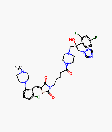 CN1CCN(c2cccc(Cl)c2/C=C2\SC(=O)N(CCCCC(=O)N3CCN(CC(O)(Cn4cncn4)c4ccc(F)cc4F)CC3)C2=O)CC1